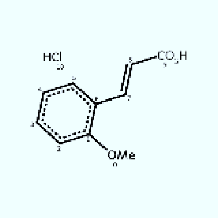 COc1ccccc1/C=C/C(=O)O.Cl